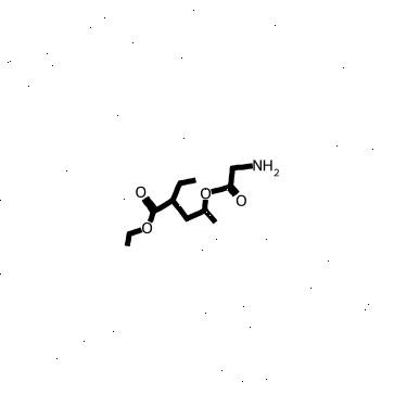 CCOC(=O)C(CC)CC(C)OC(=O)CN